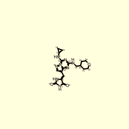 O=C1NC(=O)/C(=C/c2cnn3c(NC4CC4)nc(NCC4CCOCC4)nc23)N1